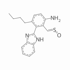 CCCCc1ccc(N)c(C=S=O)c1-c1nc2ccccc2[nH]1